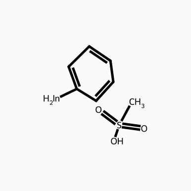 CS(=O)(=O)O.[InH2][c]1ccccc1